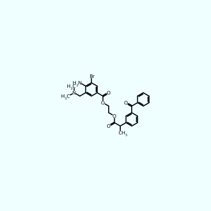 CC(C(=O)OCCOC(=O)c1cc(Br)c(N)c(CN(C)C)c1)c1cccc(C(=O)c2ccccc2)c1